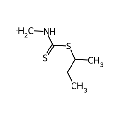 [CH2]NC(=S)SC(C)CC